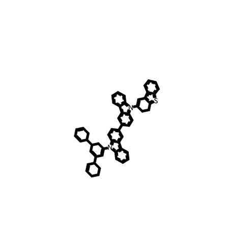 C1=CCC(C2C=C(C3C=CCCC3)C=C(n3c4ccccc4c4cc(-c5ccc6c(c5)c5ccccc5n6C5=Cc6c(sc7ccccc67)CC5)ccc43)C2)C=C1